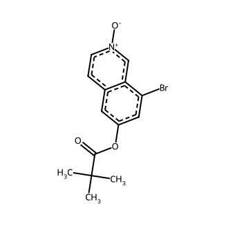 CC(C)(C)C(=O)Oc1cc(Br)c2c[n+]([O-])ccc2c1